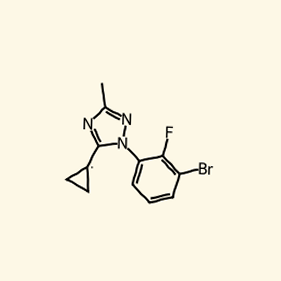 Cc1nc([C]2CC2)n(-c2cccc(Br)c2F)n1